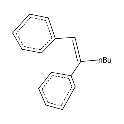 CCCCC(=Cc1ccccc1)c1ccccc1